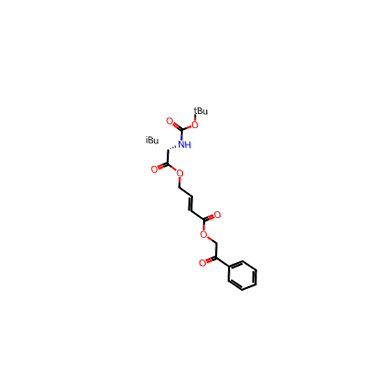 CC[C@H](C)[C@H](NC(=O)OC(C)(C)C)C(=O)OC/C=C/C(=O)OCC(=O)c1ccccc1